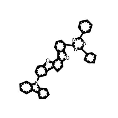 c1ccc(-c2nc(-c3ccccc3)nc(-c3cccc4c3oc3ccc5c6cc(-n7c8ccccc8c8ccccc87)ccc6oc5c34)n2)cc1